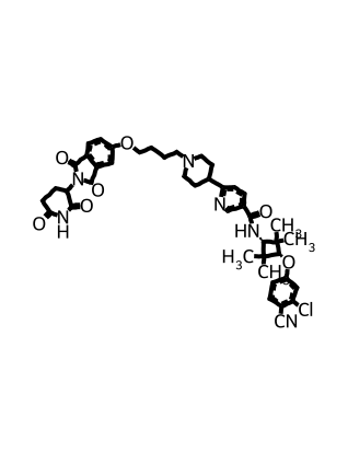 CC1(C)[C@H](NC(=O)c2ccc(C3CCN(CCCCOc4ccc5c(c4)C(=O)N(C4CCC(=O)NC4=O)C5=O)CC3)nc2)C(C)(C)[C@H]1Oc1ccc(C#N)c(Cl)c1